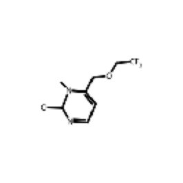 CN1C(COCC(F)(F)F)=CC=NC1Cl